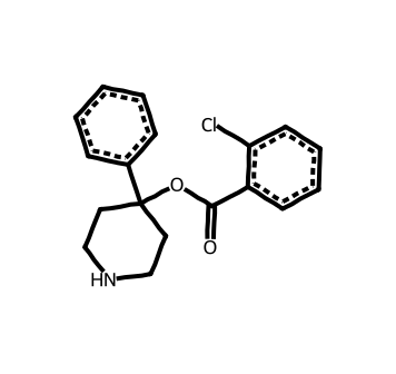 O=C(OC1(c2ccccc2)CCNCC1)c1ccccc1Cl